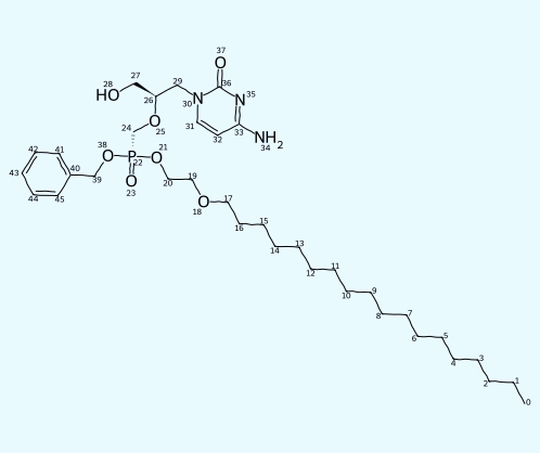 CCCCCCCCCCCCCCCCCCOCCO[P@](=O)(CO[C@@H](CO)Cn1ccc(N)nc1=O)OCc1ccccc1